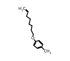 C=CCCCCCCOc1ccc(C)cc1